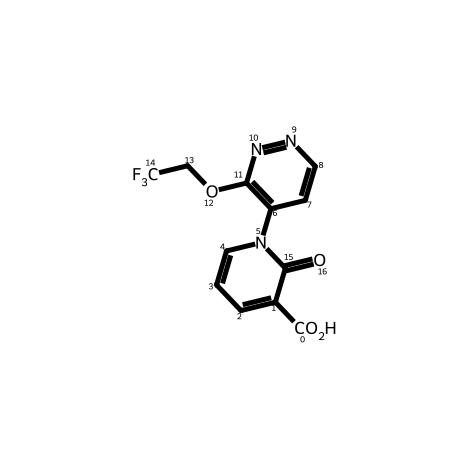 O=C(O)c1cccn(-c2ccnnc2OCC(F)(F)F)c1=O